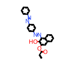 C=CC(=O)Oc1cc2ccccc2c(N=Nc2ccc(N=Nc3ccccc3)cc2)c1O